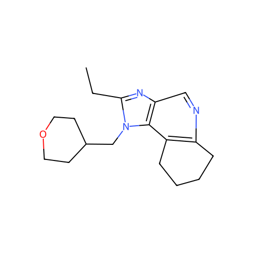 CCc1nc2cnc3c(c2n1CC1CCOCC1)CCCC3